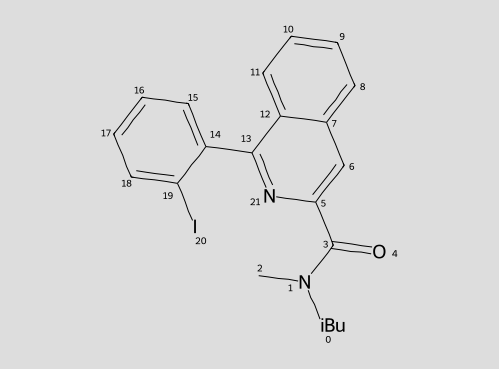 CCC(C)N(C)C(=O)c1cc2ccccc2c(-c2ccccc2I)n1